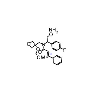 COCOC1(CN(C(=O)/C=C/c2ccccc2)C(CON)c2ccc(F)cc2)COC1